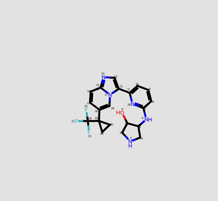 OC1CNCC1Nc1cccc(-c2cnc3ccc(C4(C(F)(F)F)CC4)cn23)n1